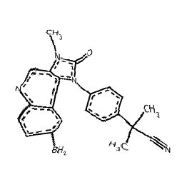 Bc1ccc2ncc3c(c2c1)n(-c1ccc(C(C)(C)C#N)cc1)c(=O)n3C